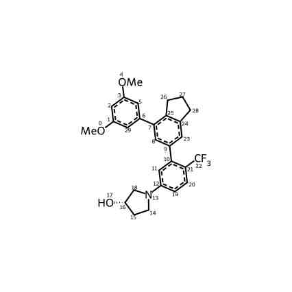 COc1cc(OC)cc(-c2cc(-c3cc(N4CC[C@H](O)C4)ccc3C(F)(F)F)cc3c2CCC3)c1